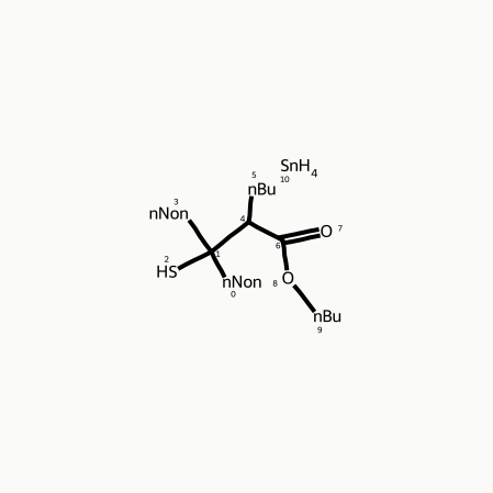 CCCCCCCCCC(S)(CCCCCCCCC)C(CCCC)C(=O)OCCCC.[SnH4]